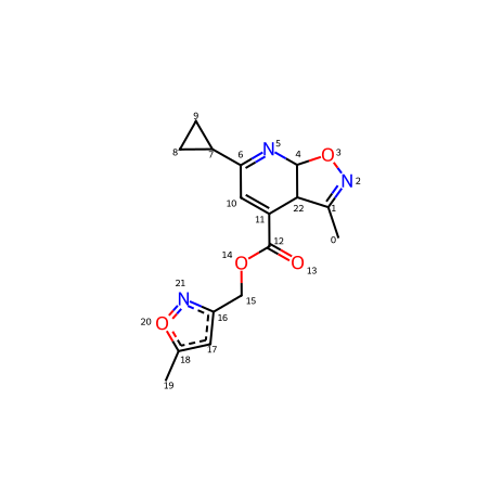 CC1=NOC2N=C(C3CC3)C=C(C(=O)OCc3cc(C)on3)C12